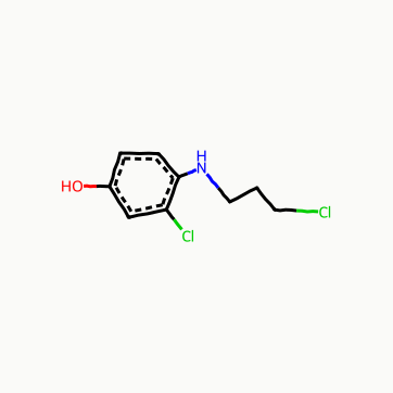 Oc1ccc(NCCCCl)c(Cl)c1